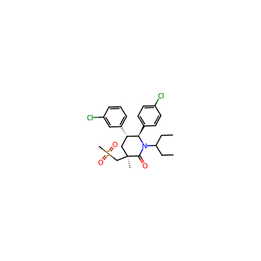 CCC(CC)N1C(=O)[C@@](C)(CS(C)(=O)=O)C[C@H](c2cccc(Cl)c2)[C@H]1c1ccc(Cl)cc1